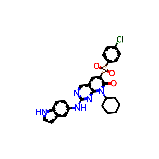 O=c1c(S(=O)(=O)c2ccc(Cl)cc2)cc2cnc(Nc3ccc4[nH]ccc4c3)nc2n1C1CCCCC1